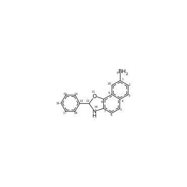 Bc1ccc2ccc3c(c2c1)OC(c1ccccc1)N3